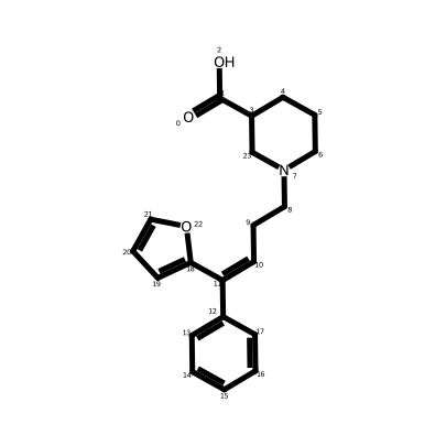 O=C(O)C1CCCN(CCC=C(c2ccccc2)c2ccco2)C1